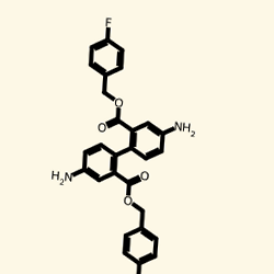 Nc1ccc(-c2ccc(N)cc2C(=O)OCc2ccc(F)cc2)c(C(=O)OCc2ccc(F)cc2)c1